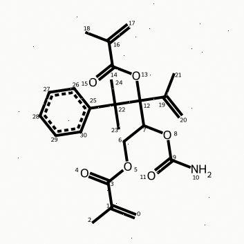 C=C(C)C(=O)OCC(OC(N)=O)C(OC(=O)C(=C)C)(C(=C)C)C(C)(C)c1ccccc1